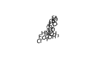 CC[C@@H]1CC[C@H](C(=O)N[C@@H](c2cc(F)c(Cl)cc2F)[C@H](C)O)N1C(=O)c1cccc(S(=O)(=O)CC)c1